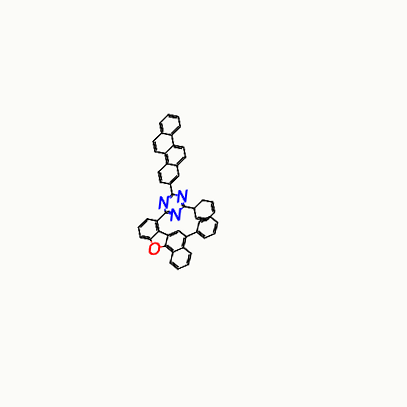 C1=CCC(c2nc(-c3ccc4c(ccc5c6ccccc6ccc45)c3)nc(-c3cccc4oc5c6ccccc6c(-c6ccccc6)cc5c34)n2)C=C1